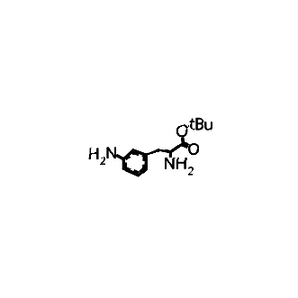 CC(C)(C)OC(=O)C(N)Cc1cccc(N)c1